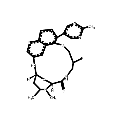 Cc1ncc(-c2ccc3ncc4cc3c2OCC(F)CNC(=O)[C@@H]2C[C@H](CC(C)N2C)N4)cn1